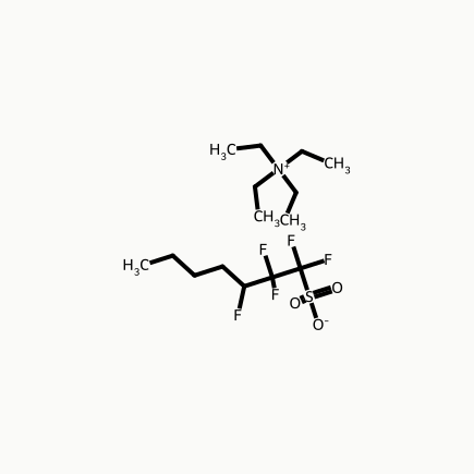 CCCCC(F)C(F)(F)C(F)(F)S(=O)(=O)[O-].CC[N+](CC)(CC)CC